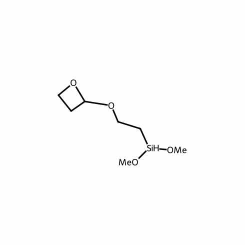 CO[SiH](CCOC1CCO1)OC